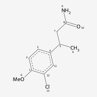 COc1ccc(C(C)CC(N)=O)cc1Cl